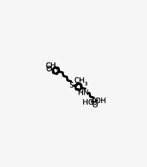 COc1ccc(CCCCCSc2ccc(CNCCCP(=O)(O)O)cc2C)cc1